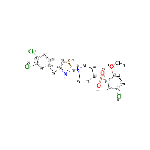 COc1ccc(Cl)cc1S(=O)(=O)C1CCN(c2nc(Cc3ccc(Cl)c(Cl)c3)cs2)CC1